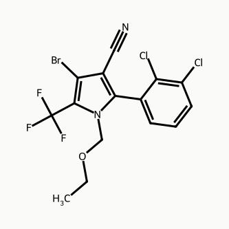 CCOCn1c(-c2cccc(Cl)c2Cl)c(C#N)c(Br)c1C(F)(F)F